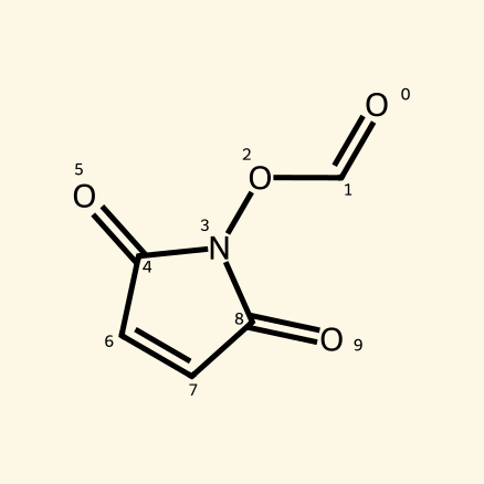 O=CON1C(=O)C=CC1=O